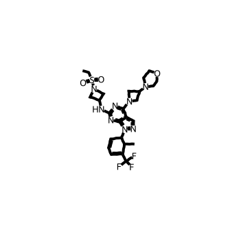 CCS(=O)(=O)N1CC(Nc2nc(N3CC(N4CCOCC4)C3)c3cnn(C4C=CC=C(C(F)(F)F)C4C)c3n2)C1